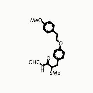 COc1ccc(CCOc2ccc(CC(SC)C(=O)NC=O)cc2)cc1